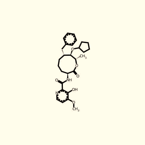 COc1ccnc(C(=O)N[C@H]2CCC[C@H](Cc3ccccc3)[C@@H](OC3CCCC3)[C@H](C)OC2=O)c1O